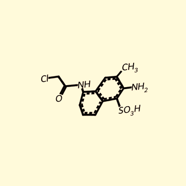 Cc1cc2c(NC(=O)CCl)cccc2c(S(=O)(=O)O)c1N